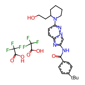 CC(C)(C)c1ccc(C(=O)Nc2cn3nc(N4CCCCC4CCO)ccc3n2)cc1.O=C(O)C(F)(F)F.O=C(O)C(F)(F)F